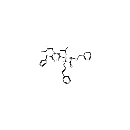 CC[C@H](C)CN(NC(=O)[C@H](CC(C)C)[C@H](CC=Cc1ccccc1)C(=O)NOCc1ccccc1)C(=O)Cn1ccnc1